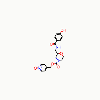 O=C(NCC1CN(C(=O)OCc2cc[n+]([O-])cc2)CCO1)c1ccc(O)cc1